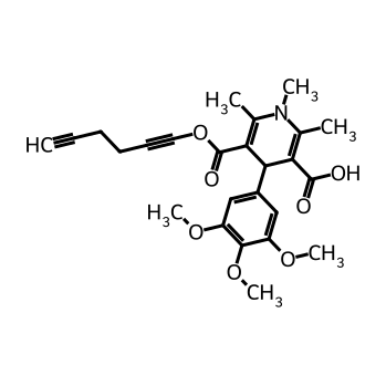 C#CCCC#COC(=O)C1=C(C)N(C)C(C)=C(C(=O)O)C1c1cc(OC)c(OC)c(OC)c1